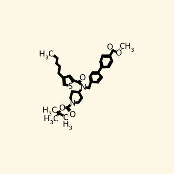 CCCCCc1csc(C(=O)N(Cc2ccc(-c3ccc(C(=O)OC)cc3)cc2)C2CCN(C(=O)OC(C)(C)C)CC2)c1